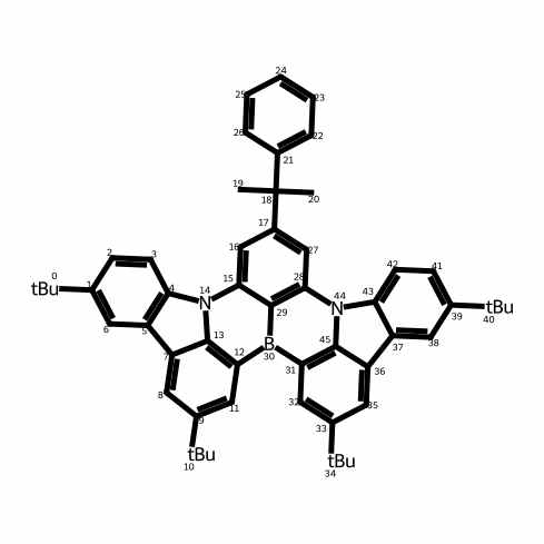 CC(C)(C)c1ccc2c(c1)c1cc(C(C)(C)C)cc3c1n2-c1cc(C(C)(C)c2ccccc2)cc2c1B3c1cc(C(C)(C)C)cc3c4cc(C(C)(C)C)ccc4n-2c13